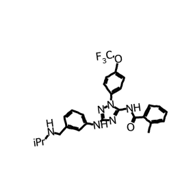 Cc1ccccc1C(=O)Nc1nc(Nc2cccc(CNC(C)C)c2)nn1-c1ccc(OC(F)(F)F)cc1